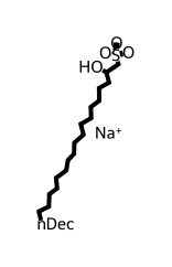 CCCCCCCCCCCCCCCCCCCCCCCCCCC(O)CS(=O)(=O)[O-].[Na+]